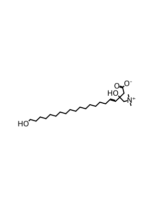 C[N+](C)(C)CC(O)(C=CCCCCCCCCCCCCCCCCO)CC(=O)[O-]